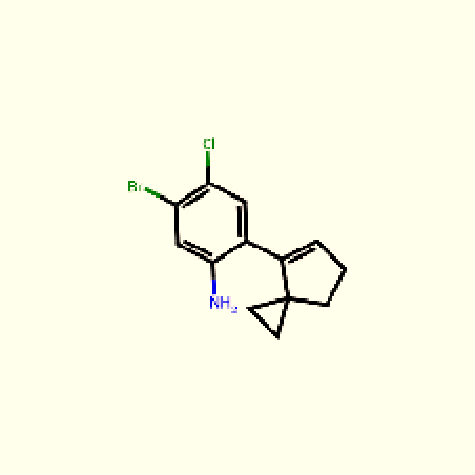 Nc1cc(Br)c(Cl)cc1C1=CCCC12CC2